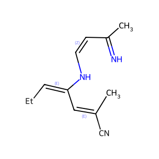 CC/C=C(\C=C(/C)C#N)N/C=C\C(C)=N